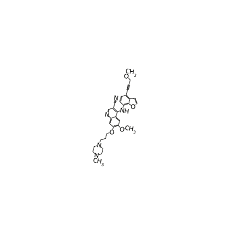 COCC#Cc1ccc(Nc2c(C#N)cnc3cc(OCCCN4CCN(C)CC4)c(OC)cc23)c2occc12